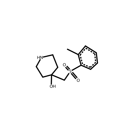 Cc1ccccc1S(=O)(=O)CC1(O)CCNCC1